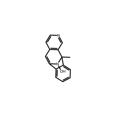 CC12c3cnccc3C=C(c3ccccc31)N2O